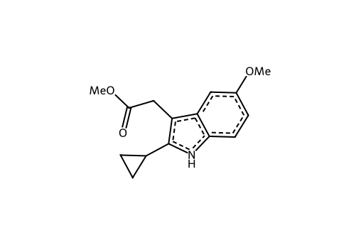 COC(=O)Cc1c(C2CC2)[nH]c2ccc(OC)cc12